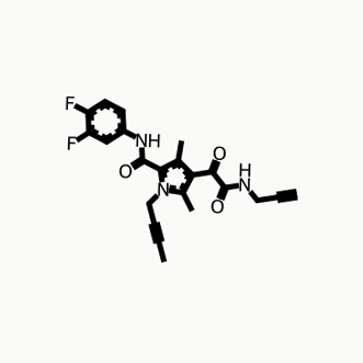 C#CCNC(=O)C(=O)c1c(C)c(C(=O)Nc2ccc(F)c(F)c2)n(CC#CC)c1C